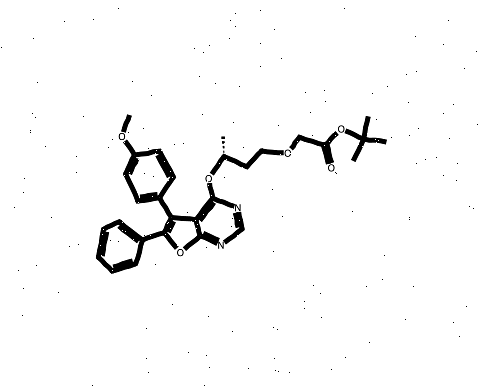 COc1ccc(-c2c(-c3ccccc3)oc3ncnc(O[C@H](C)CCOCC(=O)OC(C)(C)C)c23)cc1